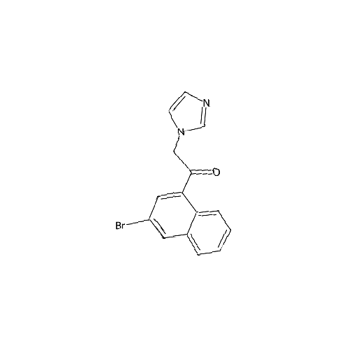 O=C(Cn1ccnc1)c1cc(Br)cc2ccccc12